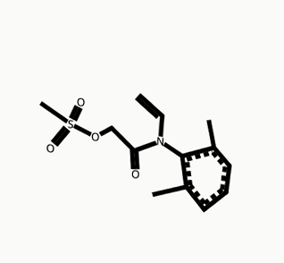 C=CN(C(=O)COS(C)(=O)=O)c1c(C)cccc1C